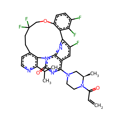 C=CC(=O)N1CCN(c2nc(=O)n3c4nc(c(F)cc24)-c2c(ccc(F)c2F)OCC(F)(F)CCc2ccnc(C(C)C)c2-3)C[C@H]1C